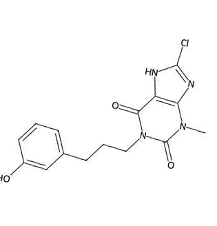 Cn1c(=O)n(CCCc2cccc(O)c2)c(=O)c2[nH]c(Cl)nc21